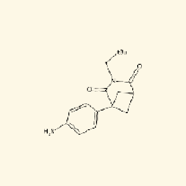 CC(C)(C)CN1C(=O)C2CC(c3ccc(N)cc3)(C2)C1=O